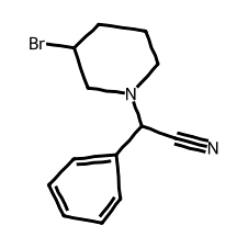 N#CC(c1ccccc1)N1CCCC(Br)C1